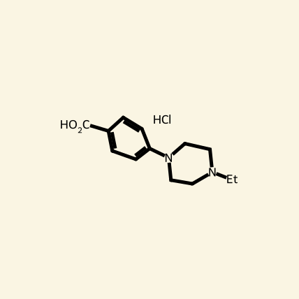 CCN1CCN(c2ccc(C(=O)O)cc2)CC1.Cl